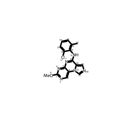 COc1ncc2c(n1)nc(Nc1c(C)cccc1Cl)c1cncn12